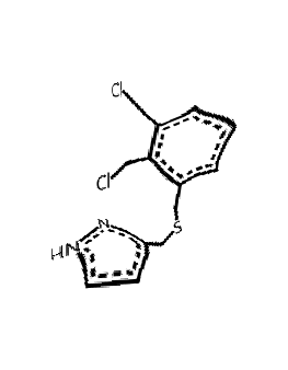 Clc1cccc(Sc2cc[nH]n2)c1Cl